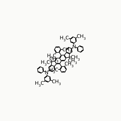 Cc1cc(C)cc(N(c2ccccc2)c2ccc3c(c2)C(C)(C)c2cc4c(-c5c(C)cccc5C)c5c(cc4c(-c4c(C)cccc4C)c2-3)C(C)(C)c2cc(N(c3ccccc3)c3cc(C)cc(C)c3)ccc2-5)c1